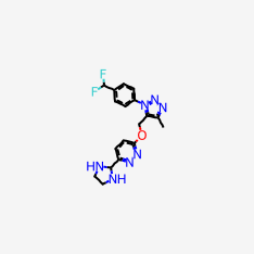 Cc1nnn(-c2ccc(C(F)F)cc2)c1COc1ccc(C2NCCN2)nn1